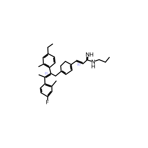 CCCNC(=N)/C=C/C1=CC=C(C/C(=C(/C)c2ccc(F)cc2C)c2ccc(CC)cc2C)CC1